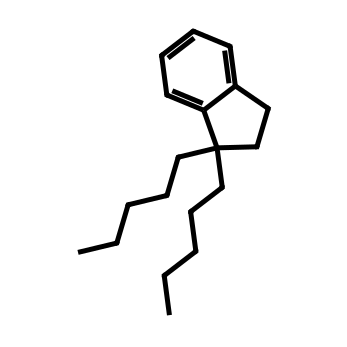 CCCCCC1(CCCCC)CCc2ccccc21